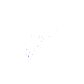 Cc1ccccc1-c1c2c(nn1C)CCc1cnc(Nc3ccc(C(=O)NC4CCN(C5CC5)CC4)cc3Cl)nc1-2